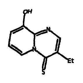 CCc1cnc2c(O)cccn2c1=S